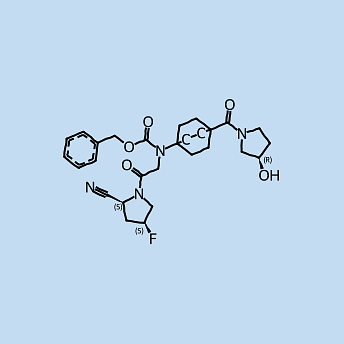 N#C[C@@H]1C[C@H](F)CN1C(=O)CN(C(=O)OCc1ccccc1)C12CCC(C(=O)N3CC[C@@H](O)C3)(CC1)CC2